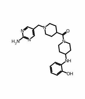 Nc1ncc(CN2CCC(C(=O)N3CCC(Nc4ccccc4O)CC3)CC2)cn1